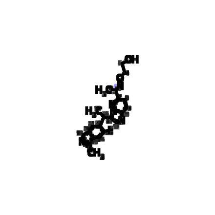 C/C(=N\OCCO)c1ccc2ncc(C(C)c3cc4cnn(C)c4cc3F)n2n1